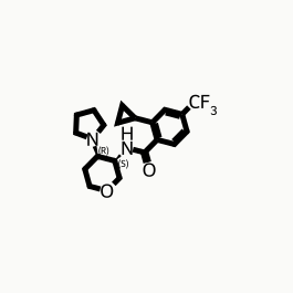 O=C(N[C@@H]1COCC[C@H]1N1CCCC1)c1ccc(C(F)(F)F)cc1C1CC1